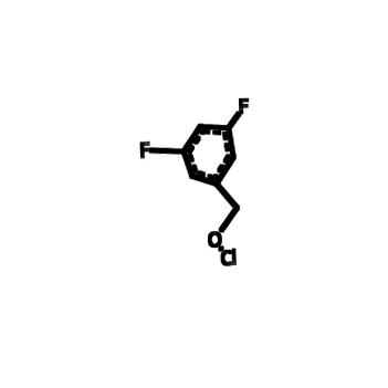 Fc1cc(F)cc(COCl)c1